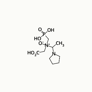 CC(N1CCCC1)[N+]([O-])(CC(=O)O)CP(=O)(O)O